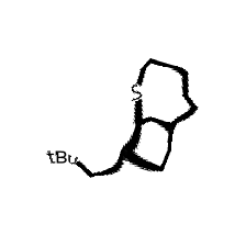 CC(C)(C)CC1CC2CCCSC21